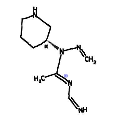 C=NN(/C(C)=N/C=N)[C@@H]1CCCNC1